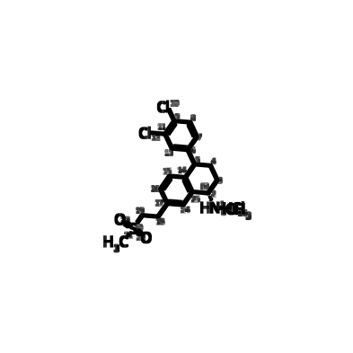 CN[C@H]1CCC(c2ccc(Cl)c(Cl)c2)c2ccc(CCS(C)(=O)=O)cc21.Cl